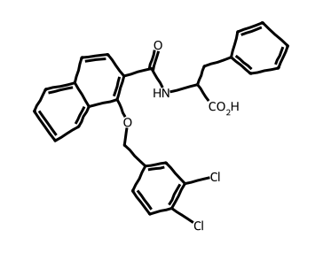 O=C(NC(Cc1ccccc1)C(=O)O)c1ccc2ccccc2c1OCc1ccc(Cl)c(Cl)c1